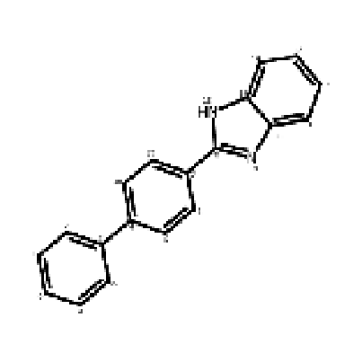 c1ccc(-c2ccc(-c3nc4ccccc4[nH]3)cc2)cc1